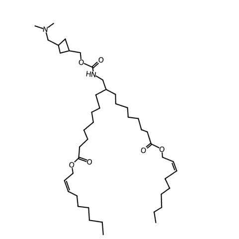 CCCCCC/C=C\COC(=O)CCCCCCCC(CCCCCCCC(=O)OC/C=C\CCCCCC)CNC(=O)OCC1CC(CN(C)C)C1